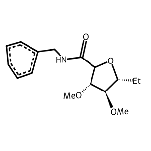 CC[C@H]1OC(C(=O)NCc2ccccc2)[C@@H](OC)[C@@H]1OC